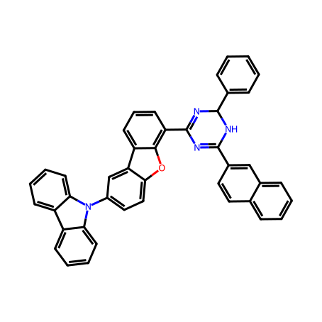 c1ccc(C2N=C(c3cccc4c3oc3ccc(-n5c6ccccc6c6ccccc65)cc34)N=C(c3ccc4ccccc4c3)N2)cc1